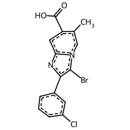 Cc1cn2c(Br)c(-c3cccc(Cl)c3)nc2cc1C(=O)O